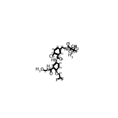 CCNC(=O)c1cc(NC(=O)c2cc(CNC(=O)C(C)(C)C(F)(F)F)ccc2Cl)ccc1OCC(F)F